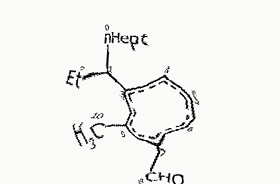 CCCCCCCC(CC)c1cccc(C=O)c1C